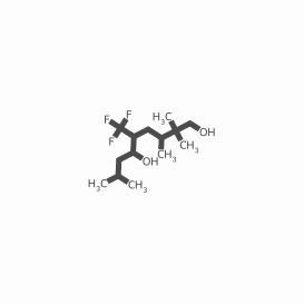 CC(C)CC(O)C(CC(C)C(C)(C)CO)C(F)(F)F